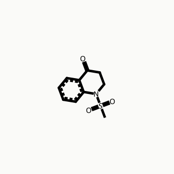 CS(=O)(=O)N1CCC(=O)c2ccccc21